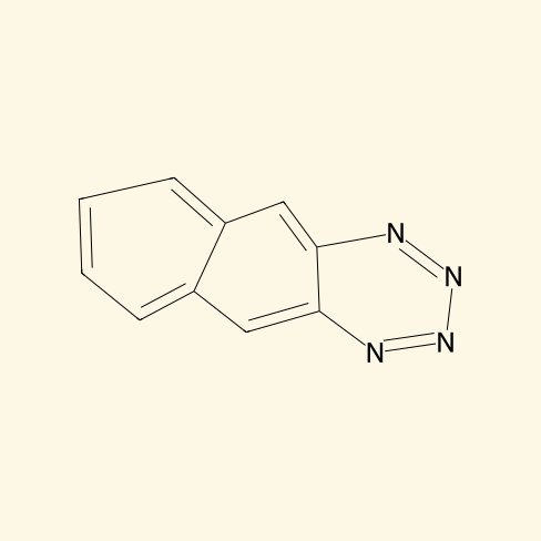 c1ccc2cc3nnnnc3cc2c1